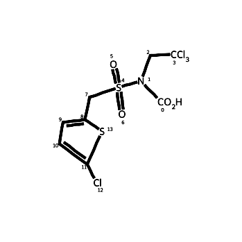 O=C(O)N(CC(Cl)(Cl)Cl)S(=O)(=O)Cc1ccc(Cl)s1